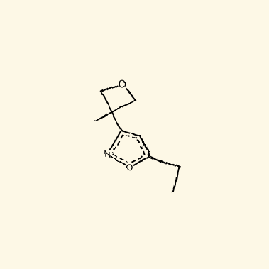 CCc1cc(C2(C)COC2)no1